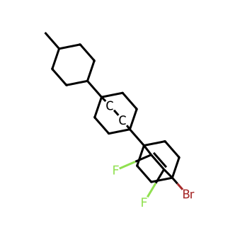 CC1CCC(C23CCC(C45CCC(Br)(CC4)C(F)=C5F)(CC2)CC3)CC1